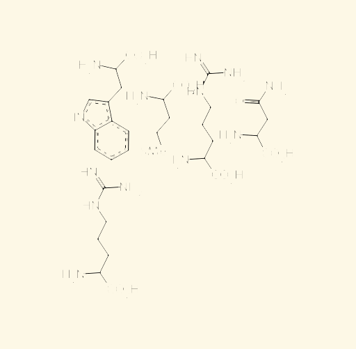 CSCCC(N)C(=O)O.N=C(N)NCCCC(N)C(=O)O.N=C(N)NCCCC(N)C(=O)O.NC(=O)CC(N)C(=O)O.NC(Cc1c[nH]c2ccccc12)C(=O)O